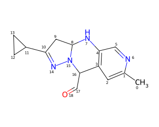 Cc1cc2c(cn1)NC1CC(C3CC3)=NN1C2C=O